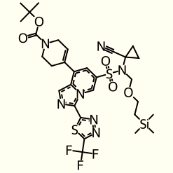 CC(C)(C)OC(=O)N1CC=C(c2cc(S(=O)(=O)N(COCC[Si](C)(C)C)C3(C#N)CC3)cn3c(-c4nnc(C(F)(F)F)s4)ncc23)CC1